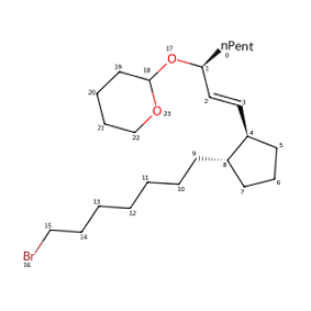 CCCCC[C@@H](/C=C/[C@H]1CCC[C@@H]1CCCCCCCBr)OC1CCCCO1